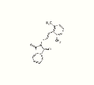 Cc1cccc(C)c1C=CCN1C(=O)c2ccccc2C1=O